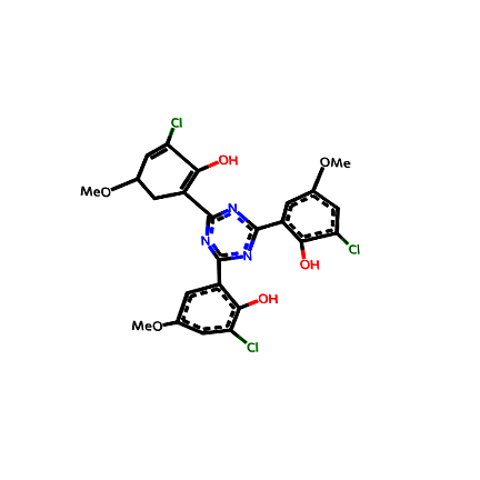 COc1cc(Cl)c(O)c(-c2nc(C3=C(O)C(Cl)=CC(OC)C3)nc(-c3cc(OC)cc(Cl)c3O)n2)c1